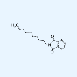 C=CCCCCCCCCN1C(=O)c2ccccc2C1=O